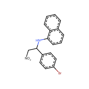 O=[N+]([O-])CC(Nc1cccc2ccccc12)c1ccc(Br)cc1